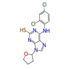 Sc1nc(Nc2ccc(Cl)cc2Cl)c2ncn(C3CCCO3)c2n1